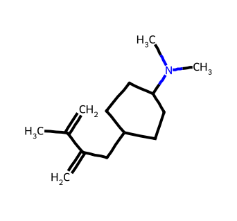 C=C(C)C(=C)CC1CCC(N(C)C)CC1